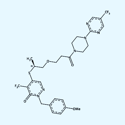 COc1ccc(Cn2ncc(S[C@@H](C)COCCC(=O)N3CCN(c4ncc(C(F)(F)F)cn4)CC3)c(C(F)(F)F)c2=O)cc1